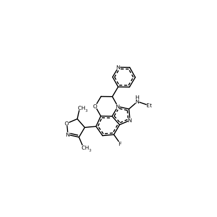 CCNc1nc2c(F)cc(C3C(C)=NOC3C)c3c2n1C(c1cccnc1)CO3